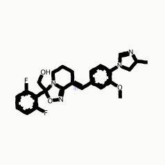 COc1cc(/C=C2\CCCN3C2=NOC3(CO)c2c(F)cccc2F)ccc1N1C=NC(C)C1